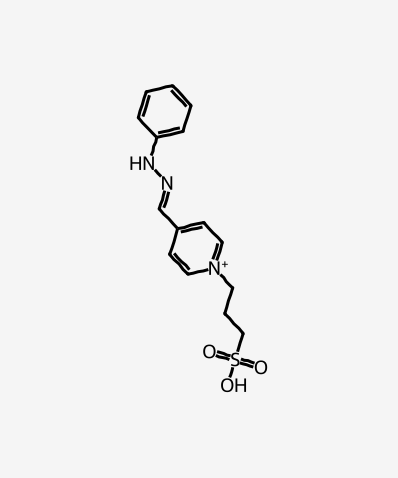 O=S(=O)(O)CCC[n+]1ccc(C=NNc2ccccc2)cc1